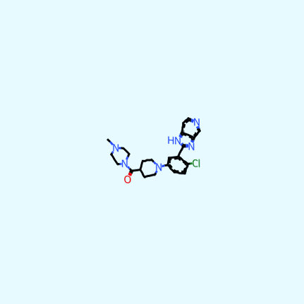 CN1CCN(C(=O)C2CCN(c3ccc(Cl)c(-c4nc5cnccc5[nH]4)c3)CC2)CC1